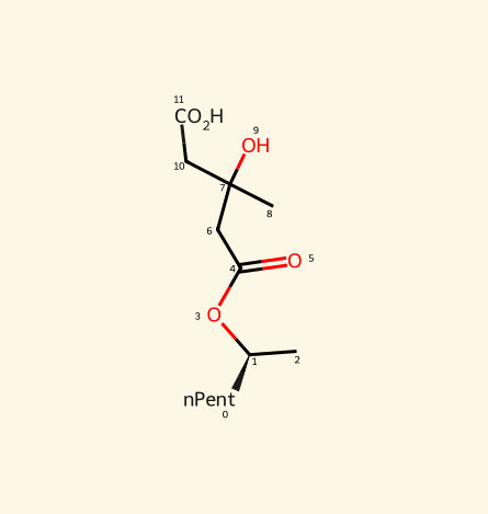 CCCCC[C@H](C)OC(=O)CC(C)(O)CC(=O)O